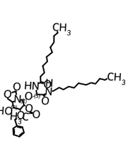 CCCCCCCCCCCCNC(=O)[C@H](CO[C@@H]1C(OC(C)=O)C(OCc2ccccc2)[C@H](O)C2COC(=O)N21)NC(=O)CCCCCCCCCCC